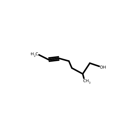 [CH2]C#CCCC(C)CO